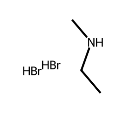 Br.Br.CCNC